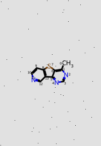 Cc1ncnc2c1sc1ccncc12